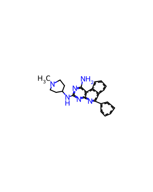 CN1CCC(Nc2nc(N)c3c(n2)nc(-c2ccccc2)c2ccccc23)CC1